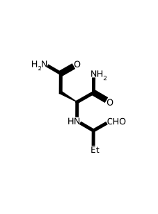 CCC(C=O)N[C@@H](CC(N)=O)C(N)=O